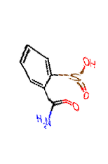 NC(=O)c1ccccc1S(=O)O